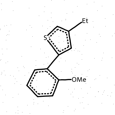 CCc1csc(-c2ccccc2OC)c1